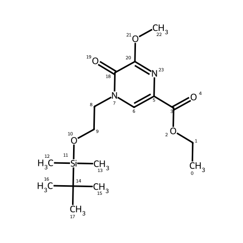 CCOC(=O)c1cn(CCO[Si](C)(C)C(C)(C)C)c(=O)c(OC)n1